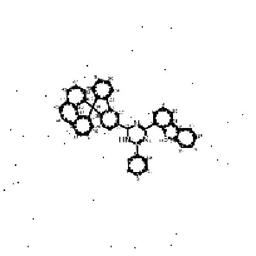 c1ccc(C2=NC(c3cccc4c3sc3ccccc34)=NC(c3ccc4c(c3)-c3ccccc3C43c4cccc5ccc6cccc3c6c45)N2)cc1